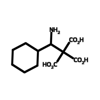 NC(C1CCCCC1)C(C(=O)O)(C(=O)O)C(=O)O